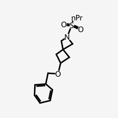 CCCS(=O)(=O)N1CC2(CC(OCc3ccccc3)C2)C1